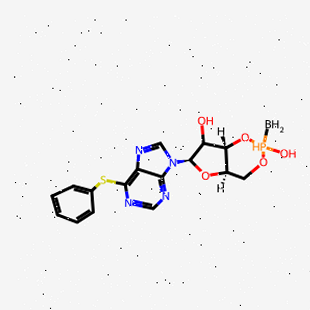 B[PH]1(O)OC[C@H]2O[C@@H](n3cnc4c(Sc5ccccc5)ncnc43)C(O)[C@@H]2O1